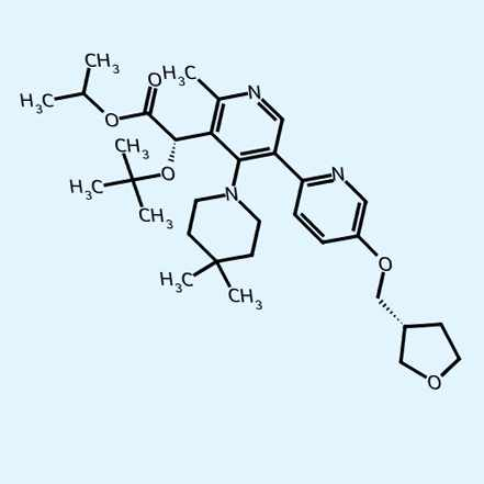 Cc1ncc(-c2ccc(OC[C@@H]3CCOC3)cn2)c(N2CCC(C)(C)CC2)c1[C@H](OC(C)(C)C)C(=O)OC(C)C